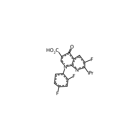 CC(C)c1nc2c(cc1F)c(=O)c(C(=O)O)cn2-c1ccc(F)cc1F